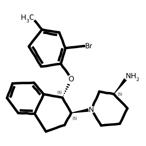 Cc1ccc(O[C@H]2c3ccccc3CC[C@@H]2N2CCC[C@H](N)C2)c(Br)c1